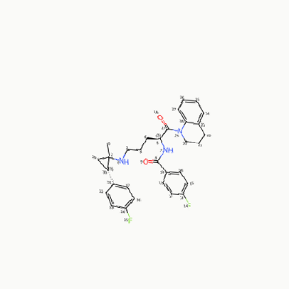 CC1(NCCC[C@H](NC(=O)c2ccc(F)cc2)C(=O)N2CCCc3ccccc32)C[C@H]1c1ccc(F)cc1